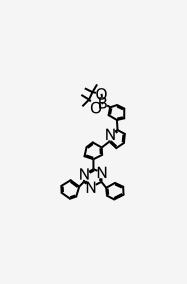 CC1(C)OB(c2cccc(-c3cccc(-c4cccc(-c5nc(-c6ccccc6)nc(-c6ccccc6)n5)c4)n3)c2)OC1(C)C